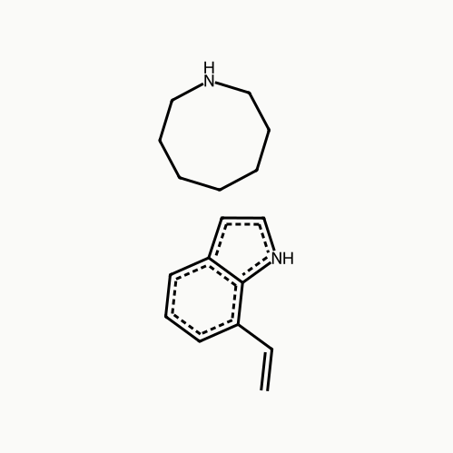 C1CCCNCCC1.C=Cc1cccc2cc[nH]c12